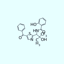 CC(O)(C(NC(=O)c1ccccc1O)c1ncc(C(=O)c2ccccc2)s1)C(F)(F)F